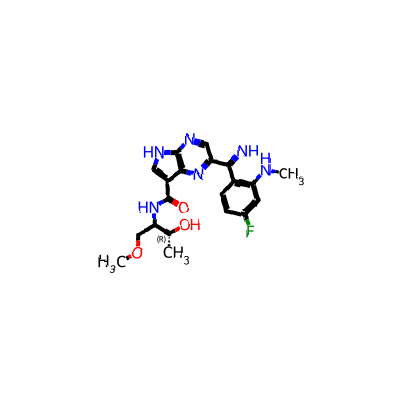 CNc1cc(F)ccc1C(=N)c1cnc2[nH]cc(C(=O)NC(COC)[C@@H](C)O)c2n1